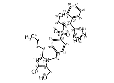 CCCCc1nc(Cl)c(CO)n1Cc1ccc(S(=O)(=O)N(CC)[C@H](c2ccccc2)c2nnn[nH]2)cc1